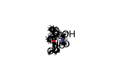 COc1ccsc1CNCC[C@@]1(c2ccccn2)CCOC2(CCCC2)C1.O=C(O)/C=C/C(=O)O